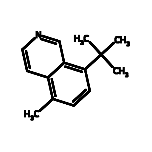 Cc1ccc(C(C)(C)C)c2cnccc12